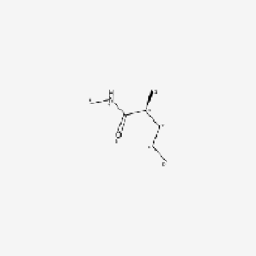 CCC[C@H](C)C(=O)NC